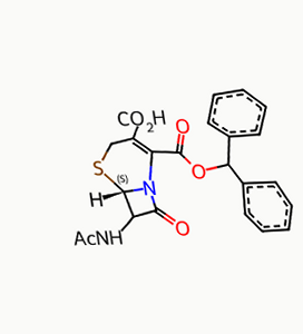 CC(=O)NC1C(=O)N2C(C(=O)OC(c3ccccc3)c3ccccc3)=C(C(=O)O)CS[C@@H]12